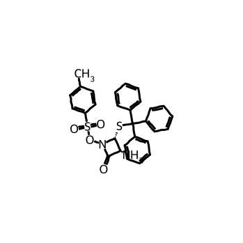 Cc1ccc(S(=O)(=O)ON2C(=O)[C@@H](N)[C@H]2SC(c2ccccc2)(c2ccccc2)c2ccccc2)cc1